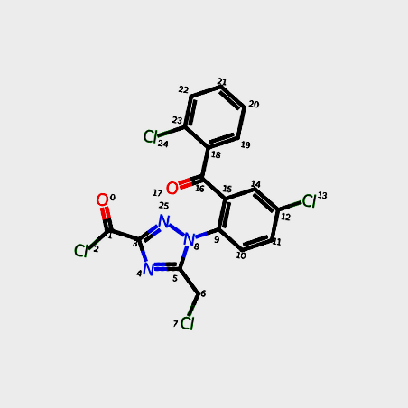 O=C(Cl)c1nc(CCl)n(-c2ccc(Cl)cc2C(=O)c2ccccc2Cl)n1